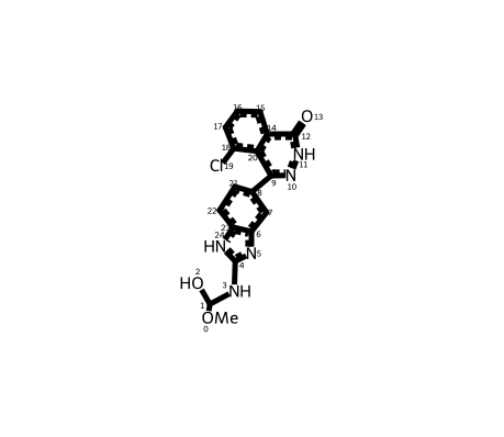 COC(O)Nc1nc2cc(-c3n[nH]c(=O)c4cccc(Cl)c34)ccc2[nH]1